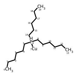 CCCCCC[PH]([Cu])(CCCCCC)CCCCCC